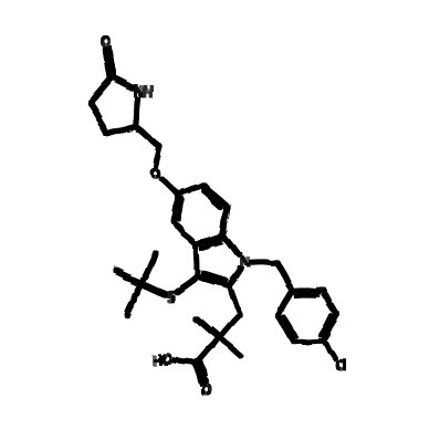 CC(C)(C)Sc1c(CC(C)(C)C(=O)O)n(Cc2ccc(Cl)cc2)c2ccc(OCC3CCC(=O)N3)cc12